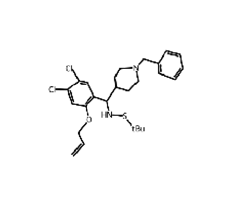 C=CCOc1cc(Cl)c(Cl)cc1C(NSC(C)(C)C)C1CCN(Cc2ccccc2)CC1